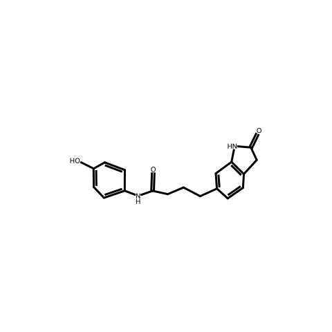 O=C(CCCc1ccc2c(c1)NC(=O)C2)Nc1ccc(O)cc1